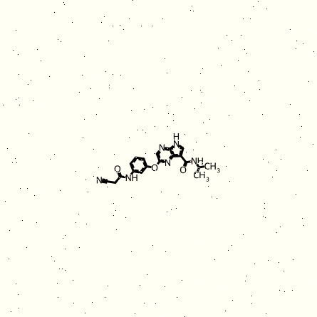 CC(C)NC(=O)c1c[nH]c2ncc(Oc3cccc(NC(=O)CC#N)c3)nc12